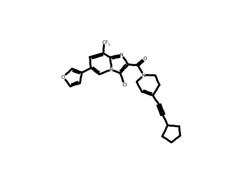 O=C(c1nc2c(C(F)(F)F)cc(-c3ccoc3)cn2c1Cl)N1CC=C(C#CC2CCCC2)CC1